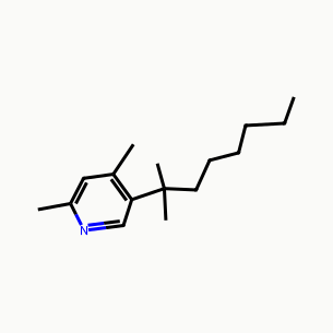 CCCCCCC(C)(C)c1cnc(C)cc1C